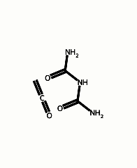 C=C=O.NC(=O)NC(N)=O